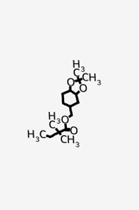 CCC(C)(C)C(=O)OCC1CCC2OC(C)(C)OC2C1